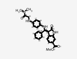 COC(=O)c1ccc2c(c1)NC(=O)/C2=C(\Nc1ccc(NCC(=O)N(C)C)cc1)c1ccccc1